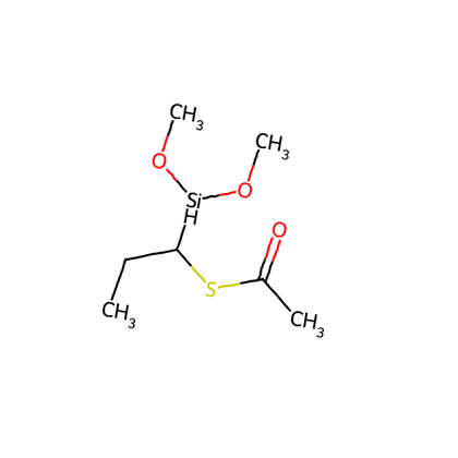 CCC(SC(C)=O)[SiH](OC)OC